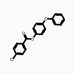 O=C(Oc1ccc(Oc2ccccc2)cc1)c1ccc(Cl)cc1